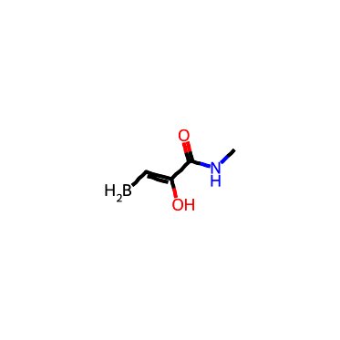 B/C=C(\O)C(=O)NC